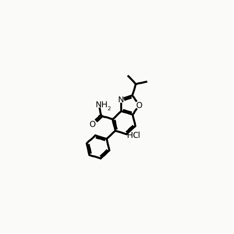 CC(C)c1nc2c(C(N)=O)c(-c3ccccc3)ccc2o1.Cl